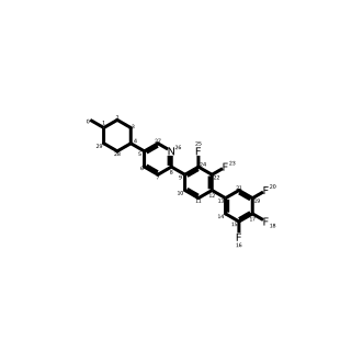 CC1CCC(c2ccc(-c3ccc(-c4cc(F)c(F)c(F)c4)c(F)c3F)nc2)CC1